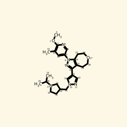 COc1ncc(-n2nc(-c3cnn(CC4CCN(C(C)C)C4)c3)c3c2CCOCC3)cc1C